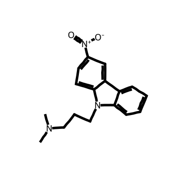 CN(C)CCCn1c2ccccc2c2cc([N+](=O)[O-])ccc21